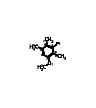 COc1cc(C)c(C)c(F)c1C